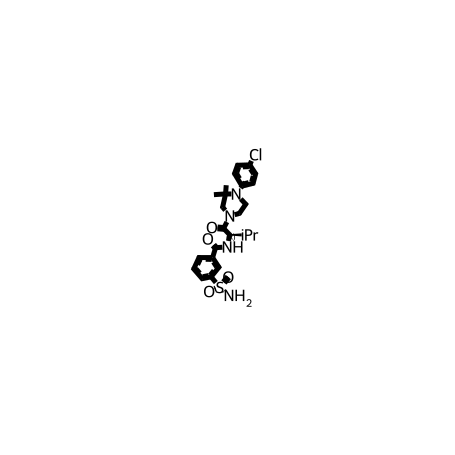 CC(C)[C@@H](NC(=O)c1cccc(S(N)(=O)=O)c1)C(=O)N1CCN(c2ccc(Cl)cc2)C(C)(C)C1